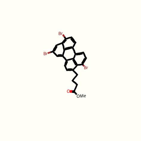 COC(=O)CCCc1ccc2c3cc(Br)cc4c(Br)ccc(c5ccc(Br)c1c52)c43